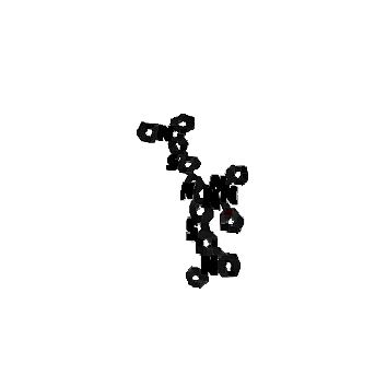 c1ccc(-c2nc(-c3ccccc3)nc(-c3cc(-c4ccc5c(c4)sc4cc6c(cc45)c4ccccc4n6-c4ccccc4)cnc3-c3ccc4c(c3)sc3cc5c(cc34)c3ccccc3n5-c3ccccc3)n2)cc1